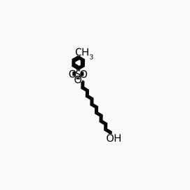 Cc1ccc(S(=O)(=O)OCCCCCCCCCCCCCO)cc1